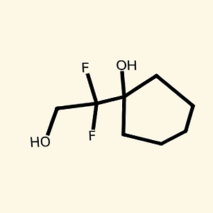 OCC(F)(F)C1(O)CCCCC1